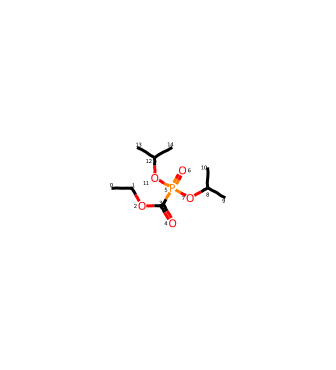 CCOC(=O)P(=O)(OC(C)C)OC(C)C